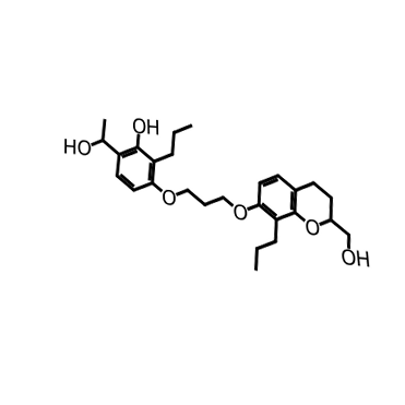 CCCc1c(OCCCOc2ccc3c(c2CCC)OC(CO)CC3)ccc(C(C)O)c1O